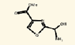 COC(=O)c1coc(C(N)O)n1